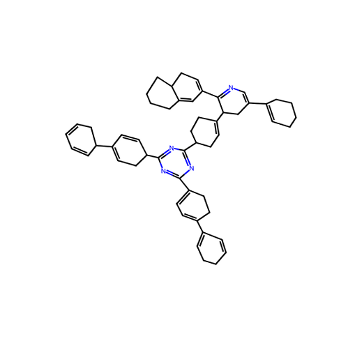 C1=CCC(C2=CCC(c3nc(C4=CC=C(C5=CCCC=C5)CC4)nc(C4CC=C(C5CC(C6=CCCCC6)=CN=C5C5=CCC6CCCCC6=C5)CC4)n3)C=C2)C=C1